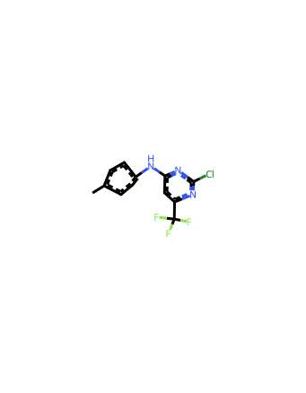 Cc1ccc(Nc2cc(C(F)(F)F)nc(Cl)n2)cc1